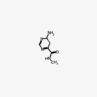 CNC(=O)C1=NC=NC(N)C1